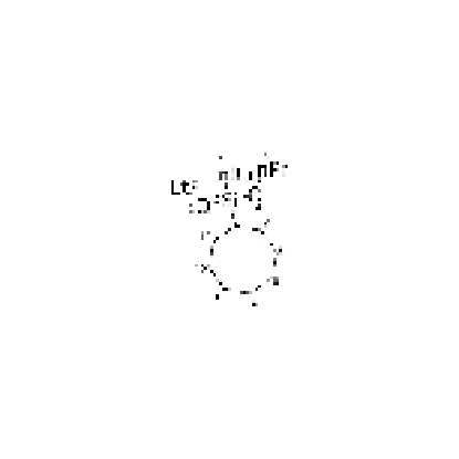 CCCC[Si](OCC)(OCCC)C1CCCCCCC1